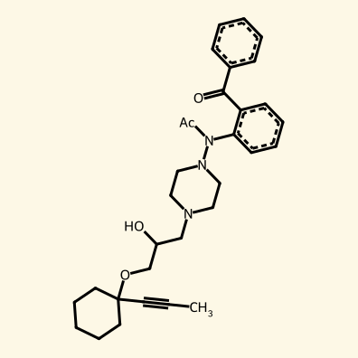 CC#CC1(OCC(O)CN2CCN(N(C(C)=O)c3ccccc3C(=O)c3ccccc3)CC2)CCCCC1